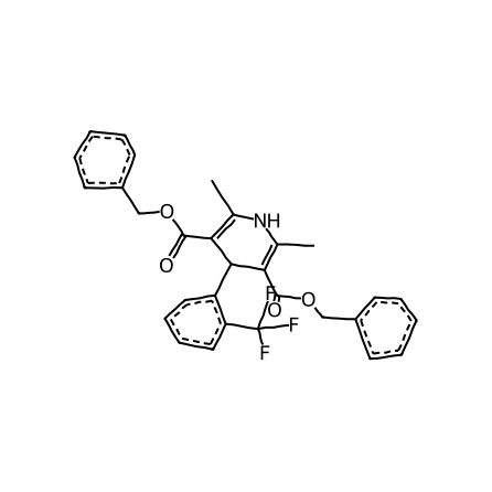 CC1=C(C(=O)OCc2ccccc2)C(c2ccccc2C(F)(F)F)C(C(=O)OCc2ccccc2)=C(C)N1